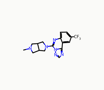 CN1CC2CN(c3nc4ccc(C(F)(F)F)cc4c4ncnn34)CC2C1